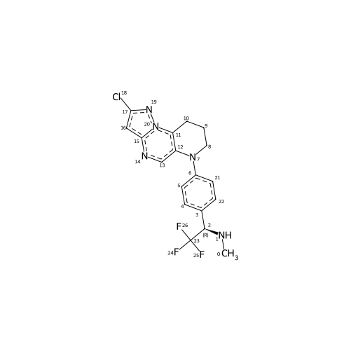 CN[C@H](c1ccc(N2CCCc3c2cnc2cc(Cl)nn32)cc1)C(F)(F)F